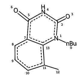 CCCCn1c(=O)[nH]c(=O)c2cccc(C)c21